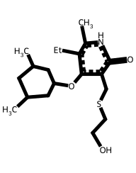 CCc1c(C)[nH]c(=O)c(CSCCO)c1OC1CC(C)CC(C)C1